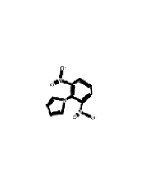 O=[N+]([O-])c1cccc([N+](=O)[O-])c1-n1cccc1